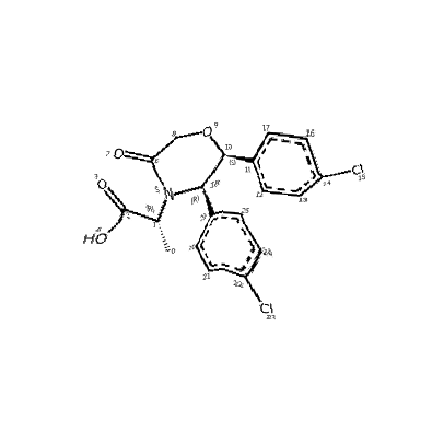 C[C@H](C(=O)O)N1C(=O)CO[C@@H](c2ccc(Cl)cc2)[C@H]1c1ccc(Cl)cc1